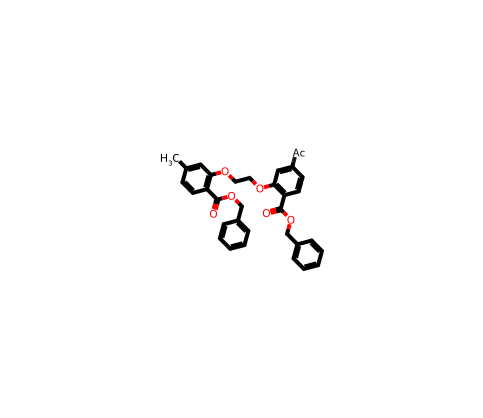 CC(=O)c1ccc(C(=O)OCc2ccccc2)c(OCCOc2cc(C)ccc2C(=O)OCc2ccccc2)c1